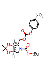 CC(C)(C)OC(=O)N1C[C@@H]2OC(C)(C)O[C@@H]2[C@H]1COC(=O)Oc1ccc([N+](=O)[O-])cc1